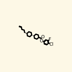 C=CCCC[C@H]1CC[C@H](C2CCC(C(=O)Oc3ccc(Cl)c(F)c3)CC2)CC1